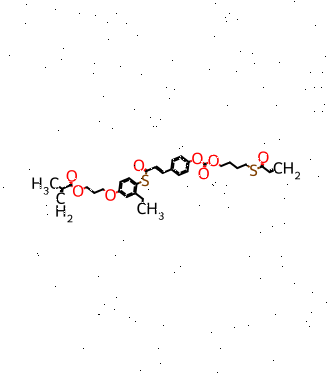 C=CC(=O)SCCCCOC(=O)Oc1ccc(/C=C/C(=O)Sc2ccc(OCCCOC(=O)C(=C)C)cc2CC)cc1